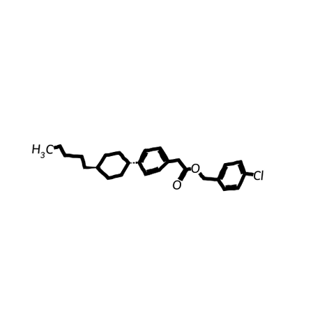 CCCCC[C@H]1CC[C@H](c2ccc(CC(=O)OCc3ccc(Cl)cc3)cc2)CC1